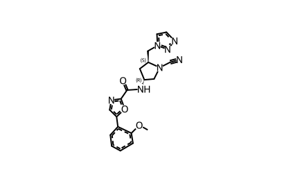 COc1ccccc1-c1cnc(C(=O)N[C@@H]2C[C@@H](Cn3ccnn3)N(C#N)C2)o1